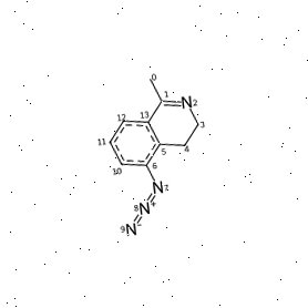 CC1=NCCc2c(N=[N+]=[N-])cccc21